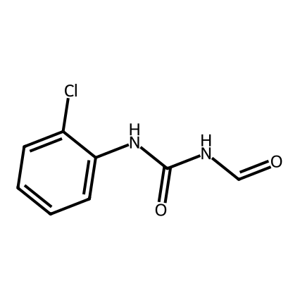 O=CNC(=O)Nc1ccccc1Cl